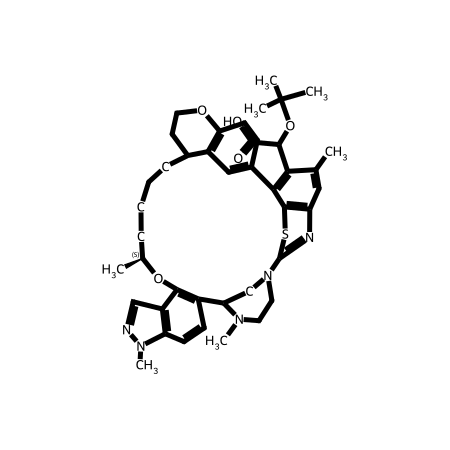 Cc1cc2nc3sc2c(c1C(OC(C)(C)C)C(=O)O)-c1ccc2c(c1)C(CCCC[C@H](C)Oc1c(ccc4c1cnn4C)C1CN3CCN1C)CCO2